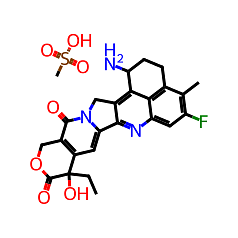 CCC1(O)C(=O)OCc2c1cc1n(c2=O)Cc2c-1nc1cc(F)c(C)c3c1c2C(N)CC3.CS(=O)(=O)O